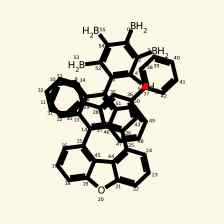 Bc1c(B)c(B)c(-c2c3ccccc3c(-c3cccc4oc5cccc(-c6cc(-c7ccccc7)cc(-c7ccccc7)c6)c5c34)c3ccccc23)c(B)c1B